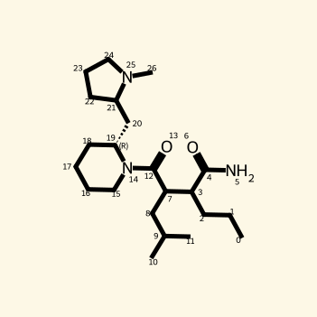 CCCC(C(N)=O)C(CC(C)C)C(=O)N1CCCC[C@@H]1CC1CCCN1C